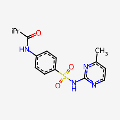 Cc1ccnc(NS(=O)(=O)c2ccc(NC(=O)C(C)C)cc2)n1